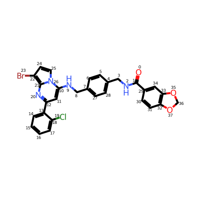 O=C(NCc1ccc(CNc2cc(-c3ccccc3Cl)nc3c(Br)ccn23)cc1)c1ccc2c(c1)OCO2